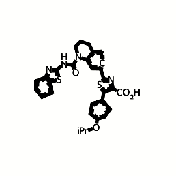 CC(C)Oc1ccc(-c2sc(-c3ccc4c(c3)N(C(=O)Nc3nc5ccccc5s3)CCC4)nc2C(=O)O)cc1